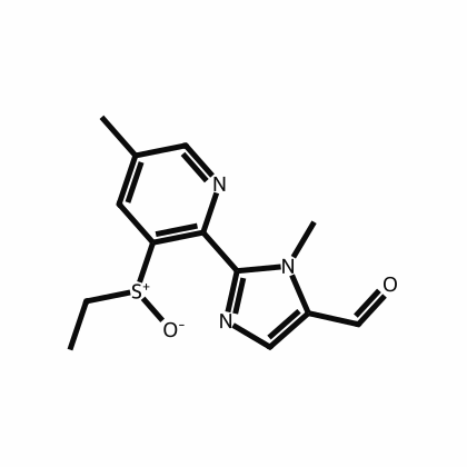 CC[S+]([O-])c1cc(C)cnc1-c1ncc(C=O)n1C